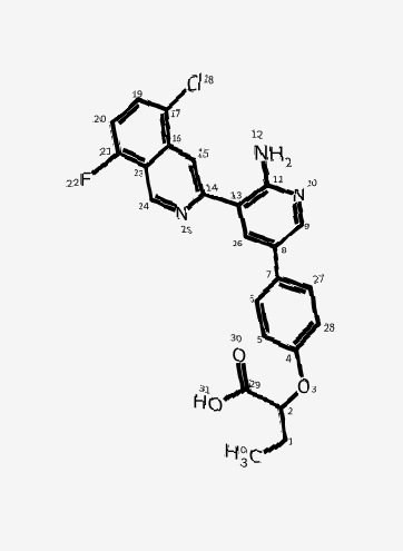 CCC(Oc1ccc(-c2cnc(N)c(-c3cc4c(Cl)ccc(F)c4cn3)c2)cc1)C(=O)O